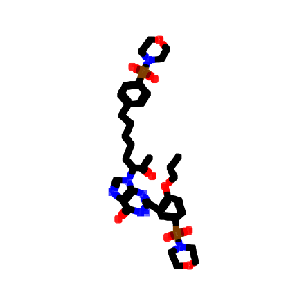 CCCOc1ccc(S(=O)(=O)N2CCOCC2)cc1-c1nc2c(ncn2C(CCCCCc2ccc(S(=O)(=O)N3CCOCC3)cc2)C(C)=O)c(=O)[nH]1